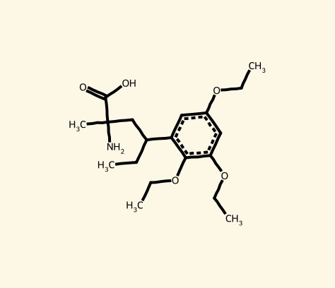 CCOc1cc(OCC)c(OCC)c(C(CC)CC(C)(N)C(=O)O)c1